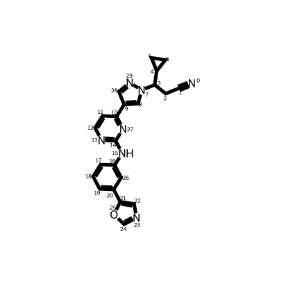 N#CCC(C1CC1)n1cc(-c2ccnc(Nc3cccc(-c4cnco4)c3)n2)cn1